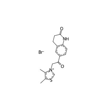 Cc1sc[n+](CC(=O)c2ccc3c(c2)CCC(=O)N3)c1C.[Br-]